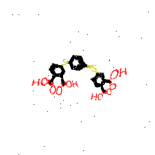 O=C(O)c1ccc(Sc2ccc(Sc3ccc(C(=O)O)c(C(=O)O)c3)cc2)cc1C(=O)O